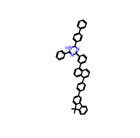 CC1(C)c2ccccc2-c2cc(-c3ccc(-c4cccc5c(-c6cccc(C7=NC(c8ccc(-c9ccccc9)cc8)NC(c8ccccc8)=N7)c6)cccc45)cc3)ccc21